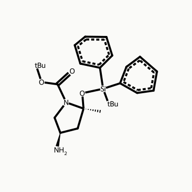 CC(C)(C)OC(=O)N1C[C@H](N)C[C@]1(C)O[Si](c1ccccc1)(c1ccccc1)C(C)(C)C